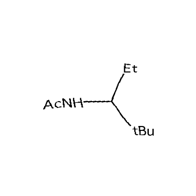 CCC(NC(C)=O)C(C)(C)C